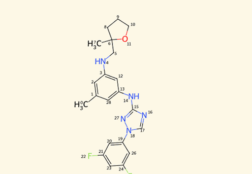 Cc1cc(NCC2(C)CCCO2)cc(Nc2ncn(-c3cc(F)cc(F)c3)n2)c1